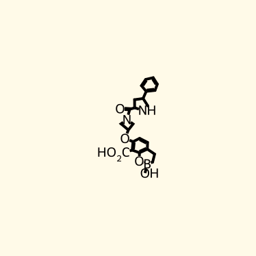 O=C(O)c1c(OC2CN(C(=O)C3CC(c4ccccc4)CN3)C2)ccc2c1OB(O)CC2